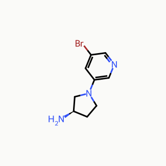 N[C@@H]1CCN(c2cncc(Br)c2)C1